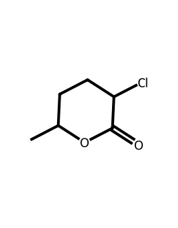 CC1CCC(Cl)C(=O)O1